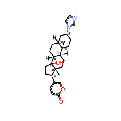 C[C@]12CC[C@H](n3ccnc3)C[C@H]1CC[C@@H]1[C@@H]2CC[C@]2(C)[C@@H](c3ccc(=O)oc3)CC[C@]12O